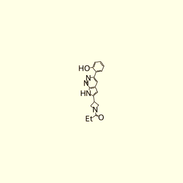 CCC(=O)N1CC(c2cc3cc(-c4ccccc4O)nnc3[nH]2)C1